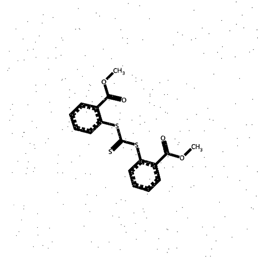 COC(=O)c1ccccc1SC(=S)Sc1ccccc1C(=O)OC